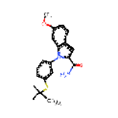 CCOC(=O)C(C)(C)Sc1cccc(-n2c(C(N)=O)cc3ccc(OC(F)(F)F)cc32)c1